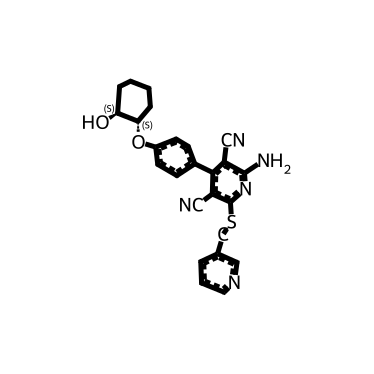 N#Cc1c(N)nc(SCc2cccnc2)c(C#N)c1-c1ccc(O[C@H]2CCCC[C@@H]2O)cc1